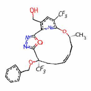 C[C@@H]1C/C=C\CC[C@](OCc2ccccc2)(C(F)(F)F)c2nnc(o2)-c2nc(c(C(F)(F)F)cc2CO)O1